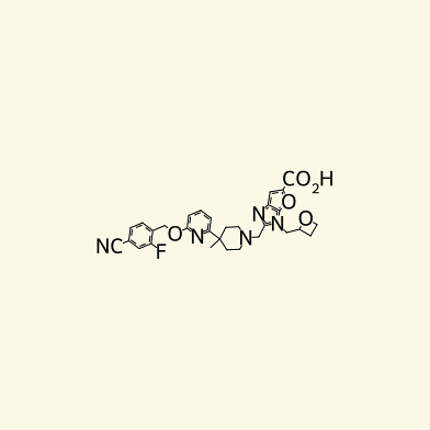 CC1(c2cccc(OCc3ccc(C#N)cc3F)n2)CCN(Cc2nc3cc(C(=O)O)oc3n2CC2CCO2)CC1